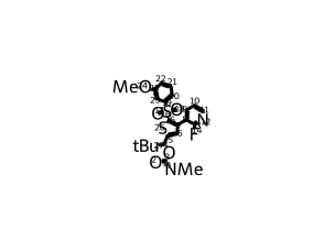 CNC(=O)OC(c1cc(-c2cccnc2F)c(S(=O)(=O)c2cccc(OC)c2)s1)C(C)(C)C